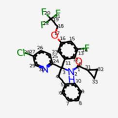 O=C(NC(Cc1ccccc1)(c1cc(F)cc(OCC(F)(F)F)c1)c1ccc(Cl)cn1)C1CC1